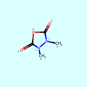 Cn1c(=O)oc(=O)n1C